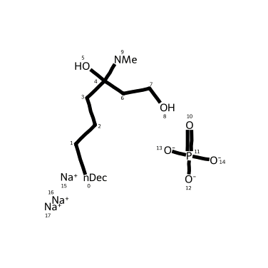 CCCCCCCCCCCCCC(O)(CCO)NC.O=P([O-])([O-])[O-].[Na+].[Na+].[Na+]